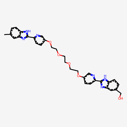 Cc1ccc2[nH]c(-c3ccc(OCCOCCOCCOc4ccc(-c5nc6cc(CO)ccc6[nH]5)nc4)cn3)nc2c1